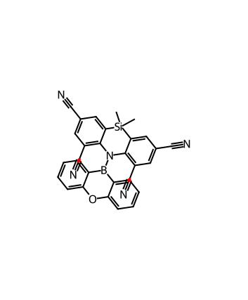 C[Si]1(C)c2cc(C#N)cc(C#N)c2N(B2c3ccccc3Oc3ccccc32)c2c(C#N)cc(C#N)cc21